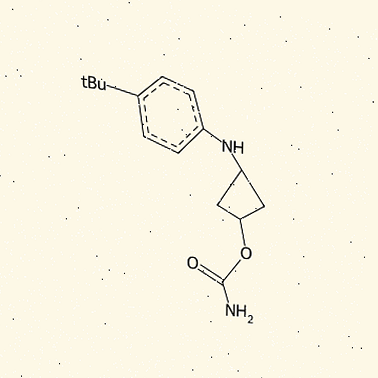 CC(C)(C)c1ccc(NC2CC(OC(N)=O)C2)cc1